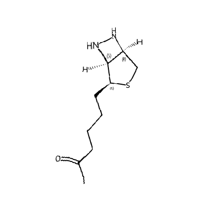 CC(=O)CCCC[C@@H]1SC[C@@H]2NN[C@@H]21